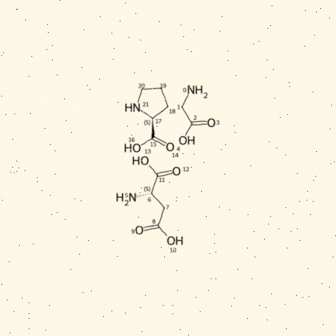 NCC(=O)O.N[C@@H](CC(=O)O)C(=O)O.O=C(O)[C@@H]1CCCN1